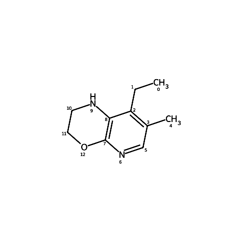 CCc1c(C)cnc2c1NCCO2